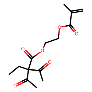 C=C(C)C(=O)OCCOC(=O)C(CC)(C(C)=O)C(C)=O